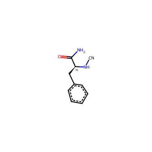 N#CN[C@@H](Cc1ccccc1)C(N)=O